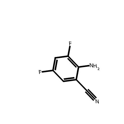 N#Cc1cc(F)cc(F)c1N